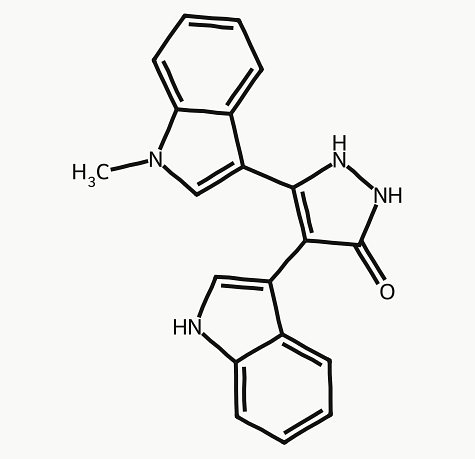 Cn1cc(-c2[nH][nH]c(=O)c2-c2c[nH]c3ccccc23)c2ccccc21